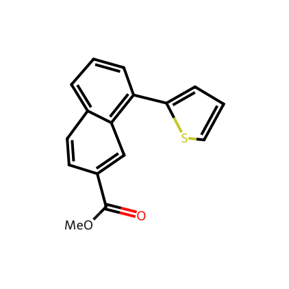 COC(=O)c1ccc2cccc(-c3cccs3)c2c1